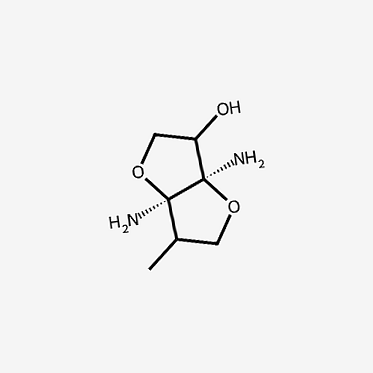 CC1CO[C@]2(N)C(O)CO[C@]12N